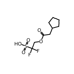 O=C(CC1CCCC1)OCC(F)(F)S(=O)(=O)O